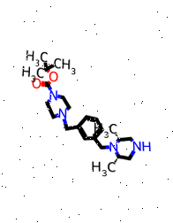 C[C@@H]1CNC[C@H](C)N1Cc1cccc(CN2CCN(C(=O)OC(C)(C)C)CC2)c1